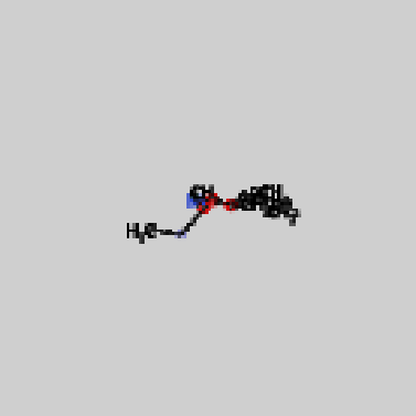 CCCCCCCC/C=C\CCCCCCCCOCC(Cn1ccnc1C)OCCCCO[C@H]1CC[C@@]2(C)C(=CCC3C4CCC(C(C)CCCC(C)C)[C@@]4(C)CCC32)C1